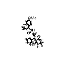 COc1ccc2c(c1)OC(C)(C)C[C@@H]2NC(=O)[C@@H]1CC1[C@@H](c1cccnc1)N1C(=N)NC(C)(C)CC1=O